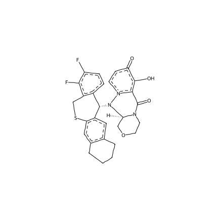 O=C1c2c(O)c(=O)ccn2N([C@@H]2c3cc4c(cc3SCc3c2ccc(F)c3F)CCCC4)[C@@H]2COCCN12